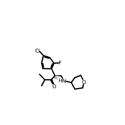 CC(C)C(=O)[C@H](CNC1CCOCC1)c1ccc(Cl)cc1F